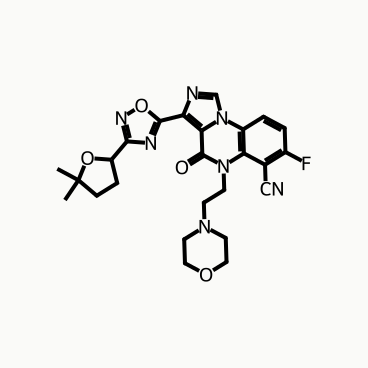 CC1(C)CCC(c2noc(-c3ncn4c3c(=O)n(CCN3CCOCC3)c3c(C#N)c(F)ccc34)n2)O1